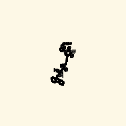 COC[C@@H]1CC[C@H](n2cc(C#CCNC(=O)CN[C@H](O)OCC3c4ccccc4-c4ccccc43)c(=O)[nH]c2=O)O1